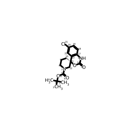 CC(C)(C)OC(=O)N1CCC[C@@]2(C1)OC(=O)Nc1ccc(Cl)cc12